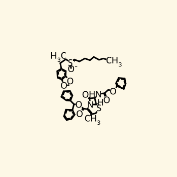 CC1=C(C(=O)OC(c2ccccc2)c2ccccc2)N2C(=O)C(NC(=O)COc3ccccc3)[C@H]2SC1.CCCCCCCC[S+]([O-])C(C)Cc1ccc2c(c1)OCO2